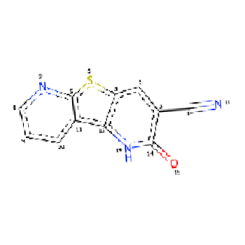 N#Cc1cc2sc3ncccc3c2[nH]c1=O